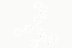 c1ccc(-c2ccc(N(c3ccc4c(c3)sc3ccc5ccccc5c34)c3ccc4c5c6ccccc6ccc5n(-c5ccccc5)c4c3)cc2)cc1